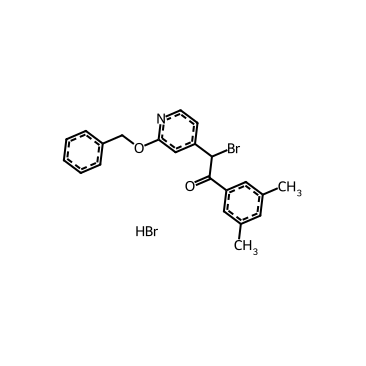 Br.Cc1cc(C)cc(C(=O)C(Br)c2ccnc(OCc3ccccc3)c2)c1